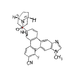 Cn1cnc2cc(-c3ccc(C(=O)N4[C@@H]5CC[C@H]4C[C@@H](N)C5)cc3-c3ccc(C#N)c(F)c3)c(F)cc21